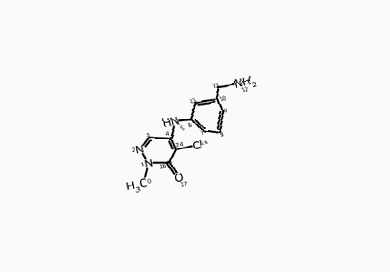 Cn1ncc(Nc2cccc(CN)c2)c(Cl)c1=O